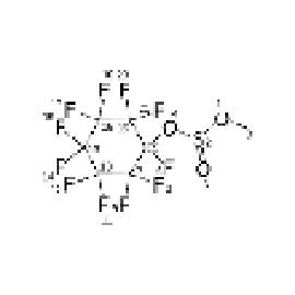 COS(=O)OC1(F)C(F)(F)C(F)(F)C(F)(F)C(F)(F)C1(F)F